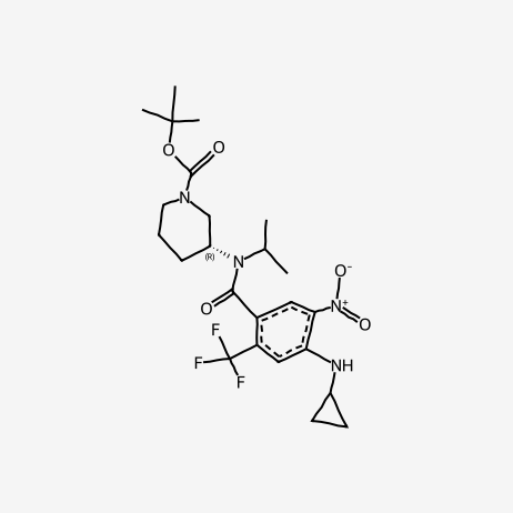 CC(C)N(C(=O)c1cc([N+](=O)[O-])c(NC2CC2)cc1C(F)(F)F)[C@@H]1CCCN(C(=O)OC(C)(C)C)C1